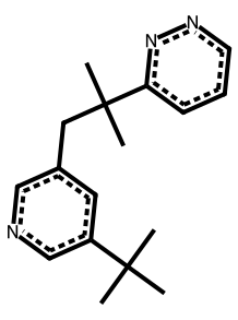 CC(C)(C)c1cncc(CC(C)(C)c2cccnn2)c1